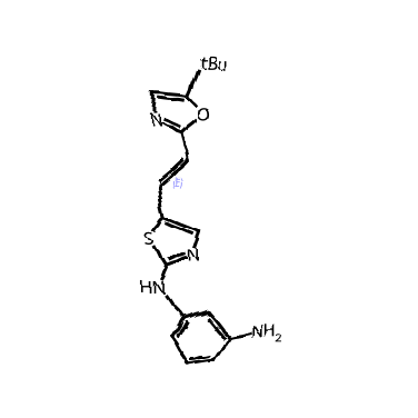 CC(C)(C)c1cnc(/C=C/c2cnc(Nc3cccc(N)c3)s2)o1